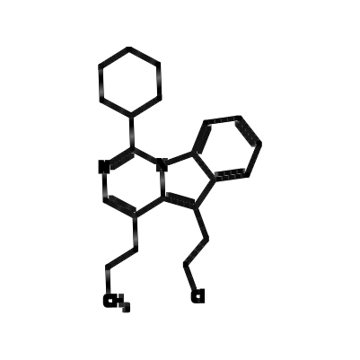 CCCc1cnc(C2CCCCC2)n2c1c(CCCl)c1ccccc12